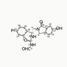 O=CNC(=O)N[C@@H](CN1Cc2ccc(O)cc2C1=O)c1ccc(F)cc1